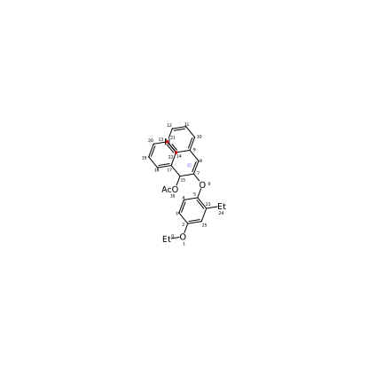 CCOc1ccc(O/C(=C/c2cccnc2)C(OC(C)=O)c2ccccc2)c(CC)c1